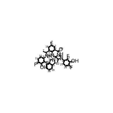 Cc1cc2c(c(C(C)Nc3ccc(F)c(O)c3F)c1)NC(C(C)Nc1ccc(F)c(O)c1F)(N1Cc3ccccc3C1)N(C)C2=O